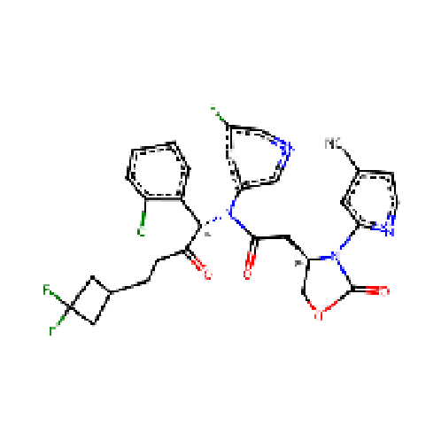 N#Cc1ccnc(N2C(=O)OC[C@H]2CC(=O)N(c2cncc(F)c2)[C@H](C(=O)CCC2CC(F)(F)C2)c2ccccc2Cl)c1